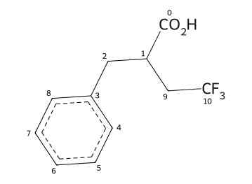 O=C(O)C(Cc1ccccc1)CC(F)(F)F